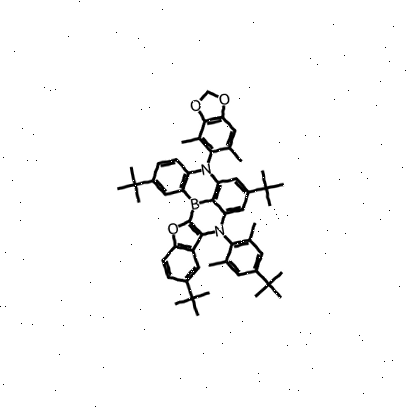 Cc1cc(C(C)(C)C)cc(C)c1N1c2cc(C(C)(C)C)cc3c2B(c2cc(C(C)(C)C)ccc2N3c2c(C)cc3c(c2C)OCO3)c2oc3ccc(C(C)(C)C)cc3c21